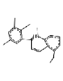 C=C(/C=C\c1c(CC)cccc1NC)c1cc(C)cc(C)c1C